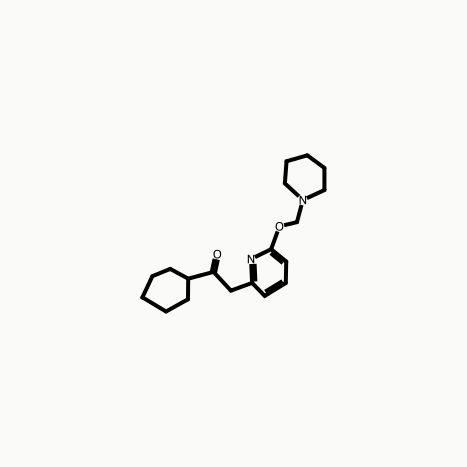 O=C(Cc1cccc(OCN2CCCCC2)n1)C1CCCCC1